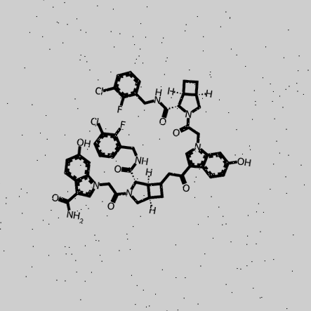 NC(=O)c1cn(CC(=O)N2C[C@@H]3CC(CC(=O)c4cn(CC(=O)N5C[C@@H]6CC[C@@H]6[C@H]5C(=O)NCc5cccc(Cl)c5F)c5cc(O)ccc45)[C@@H]3[C@H]2C(=O)NCc2cccc(Cl)c2F)c2cc(O)ccc12